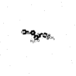 Cn1cc(-c2cccc(NCC3CCOCC3)c2)c2sc(CN3CCN(S(C)(=O)=O)CC3)cc2c1=O